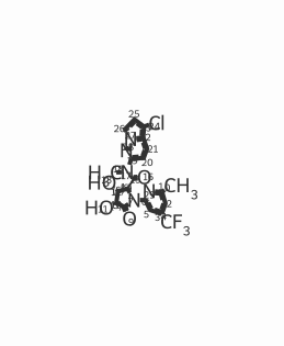 Cc1cc(C(F)(F)F)cc(N2C(=O)[C@@H](O)[C@@H](O)[C@H]2C(=O)N(C)c2ccc3c(Cl)ccn3n2)n1